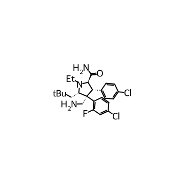 CCN1[C@@H](CC(C)(C)C)[C@](CN)(c2ccc(Cl)cc2F)[C@@H](c2ccc(Cl)cc2)[C@@H]1C(N)=O